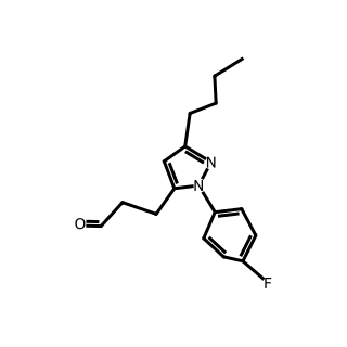 CCCCc1cc(CCC=O)n(-c2ccc(F)cc2)n1